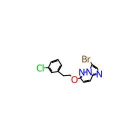 Clc1cccc(CCOc2ccc3ncc(Br)n3n2)c1